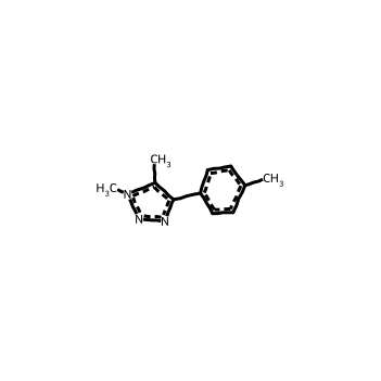 Cc1ccc(-c2nnn(C)c2C)cc1